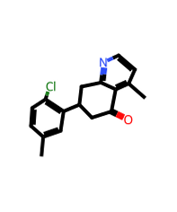 Cc1ccc(Cl)c(C2CC(=O)c3c(C)ccnc3C2)c1